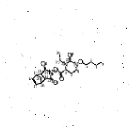 CCCCON1CC[C@@H](C(=O)ON2C(=O)C3C4C=CC(C4)C3C2=O)N(CC)C1=O